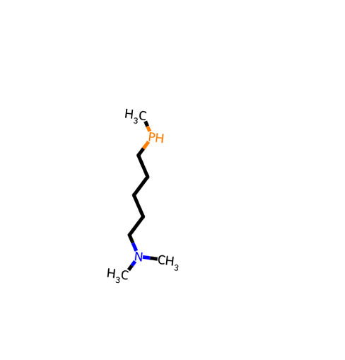 CPCCCCCN(C)C